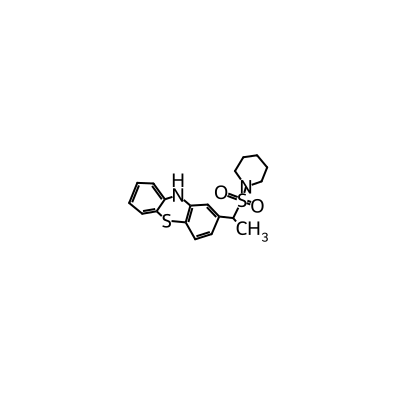 CC(c1ccc2c(c1)Nc1ccccc1S2)S(=O)(=O)N1CCCCC1